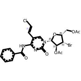 CC(=O)OC[C@H]1O[C@@H](n2cc(/C=C/Cl)c(NC(=O)c3ccccc3)nc2=O)[C@H](OC(C)=O)[C@H]1Br